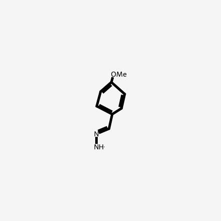 COc1ccc(C=N[NH])cc1